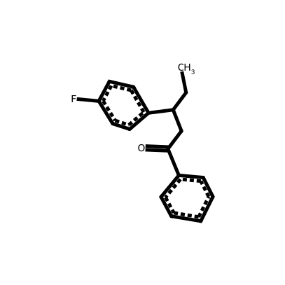 CCC(CC(=O)c1ccccc1)c1ccc(F)cc1